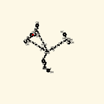 N#Cc1ccc(CN/C(CCOCCOCCOCCNC(=O)CCOCC(COCCC(=O)NCCOCCOCCOCCc2c([C@H]3OCC[C@@H](O)[C@H]3O)nnn2Cc2ccc(C#N)cc2)(COCCC(=O)NCCOCCOCCOCCc2c([C@H]3OCC[C@@H](O)[C@H]3O)nnn2Cc2ccc(C#N)cc2)NC(=O)CCCOc2ccc3nc(/C(=C/Nc4ccc(O)c(F)c4)N=N)ccc3c2)=C(\N)[C@H]2OCC[C@@H](O)[C@H]2O)cc1